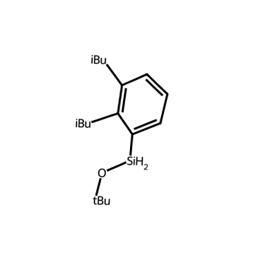 CCC(C)c1cccc([SiH2]OC(C)(C)C)c1C(C)CC